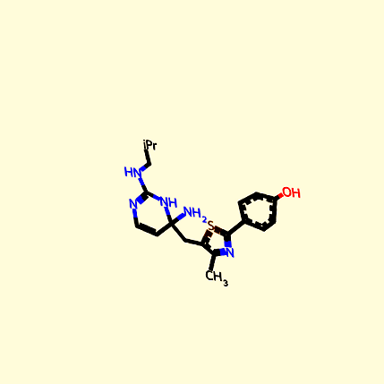 Cc1nc(-c2ccc(O)cc2)sc1CC1(N)C=CN=C(NCC(C)C)N1